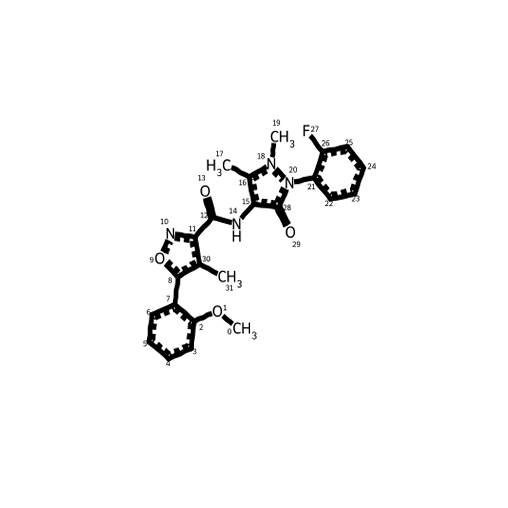 COc1ccccc1-c1onc(C(=O)Nc2c(C)n(C)n(-c3ccccc3F)c2=O)c1C